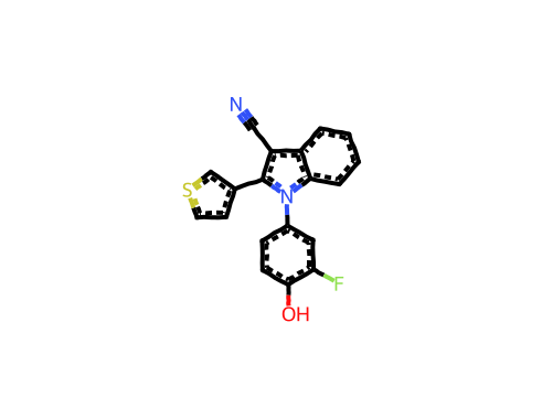 N#Cc1c(-c2ccsc2)n(-c2ccc(O)c(F)c2)c2ccccc12